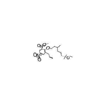 C=CCc1cc([N+](=O)[O-])cc([N+](=O)[O-])c1OCCC(C)CCCC(C)(C)OCC